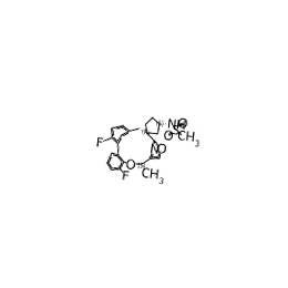 C[C@@H]1Oc2c(F)cccc2-c2cc(ccc2F)C[C@@]2(CC[C@H](NS(C)(=O)=O)C2)c2nc1co2